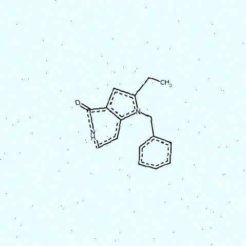 CCc1cc2c(=O)[nH]ccc2n1Cc1ccccc1